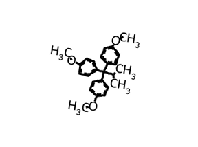 COc1ccc(C(c2ccc(OC)cc2)(c2ccc(OC)cc2)C(C)C)cc1